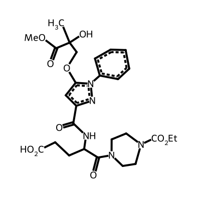 CCOC(=O)N1CCN(C(=O)C(CCC(=O)O)NC(=O)c2cc(OCC(C)(O)C(=O)OC)n(-c3ccccc3)n2)CC1